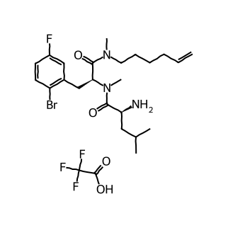 C=CCCCCN(C)C(=O)[C@H](Cc1cc(F)ccc1Br)N(C)C(=O)[C@@H](N)CC(C)C.O=C(O)C(F)(F)F